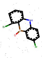 [O-][S+]1c2cc(Br)ccc2Nc2cccc(Br)c21